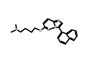 CN(C)CCCCOc1ccc2ncc(-c3cccc4ccccc34)n2n1